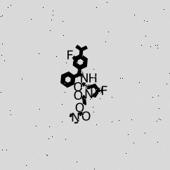 CC(C)c1ccc([C@@H](NC(=O)[C@@H]2C[C@@H](F)CN2C(=O)COC(=O)N(C)C)c2ccccc2)cc1F